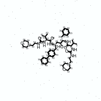 CC(C)[C@H](NC(=O)NCCN1CCOCC1)C(=O)N[C@@H](Cc1ccccc1)[C@@H](O)CN(Cc1ccc(-c2ccccc2)cc1)NC(=O)[C@@H](NC(=O)NCCN1CCOCC1)C(C)C